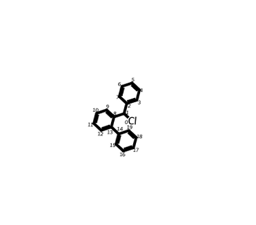 ClC(c1ccccc1)c1ccccc1-c1ccccc1